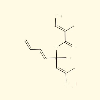 C=CC=CC(C=C(C)C(=O)O)(OC(=O)C(C)=CC(C)(C)C)C(C)C